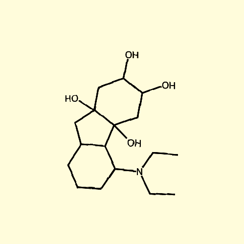 CCN(CC)C1CCCC2CC3(O)CC(O)C(O)CC3(O)C21